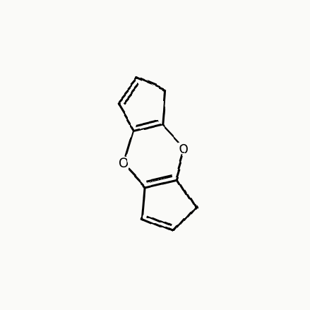 C1=CC2=C(C1)OC1=C(C=CC1)O2